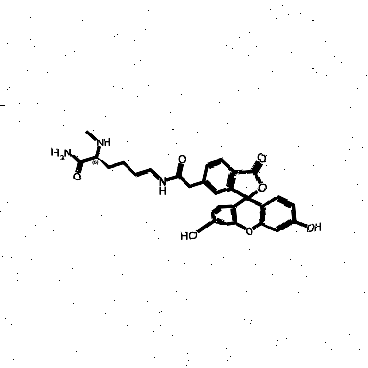 CN[C@@H](CCCCNC(=O)Cc1ccc2c(c1)C1(OC2=O)c2ccc(O)cc2Oc2cc(O)ccc21)C(N)=O